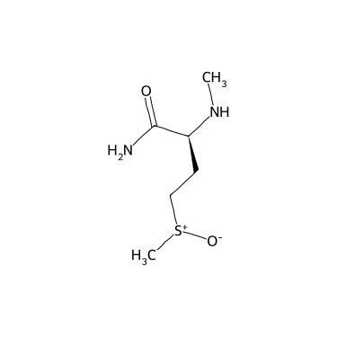 CN[C@@H](CC[S+](C)[O-])C(N)=O